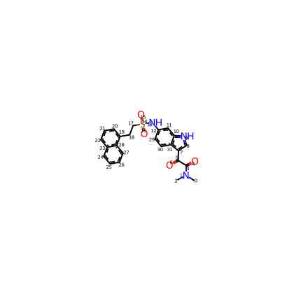 CN(C)C(=O)C(=O)c1c[nH]c2cc(NS(=O)(=O)CCc3cccc4ccccc34)ccc12